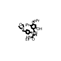 CCCOc1cc(O)c(-c2nnc(C(=O)NCC)n2-c2ccc(CN3CCOCC3)cc2)cc1C(C)C